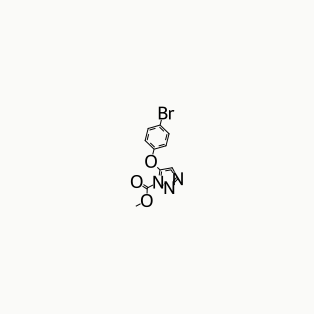 COC(=O)n1nncc1Oc1ccc(Br)cc1